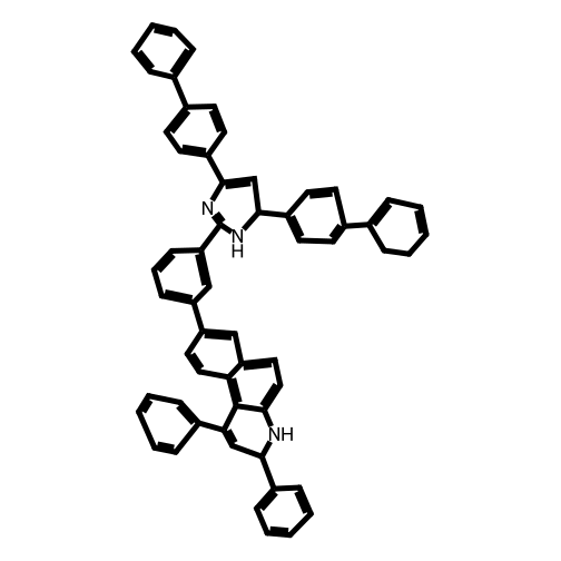 C1=CCCC(c2ccc(C3C=C(c4ccc(-c5ccccc5)cc4)N=C(c4cccc(-c5ccc6c7c(ccc6c5)NC(c5ccccc5)C=C7c5ccccc5)c4)N3)cc2)=C1